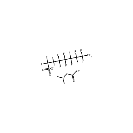 CC(C)C(=O)C[S+](C)C.O=S(=O)([O-])C(F)(F)C(F)(F)C(F)(F)C(F)(F)C(F)(F)C(F)(F)C(F)(F)C(F)(F)F